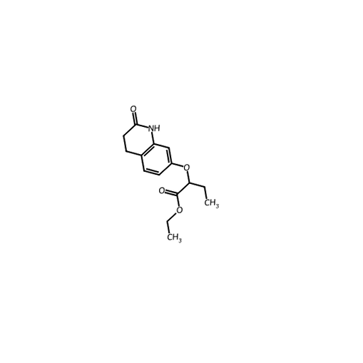 CCOC(=O)C(CC)Oc1ccc2c(c1)NC(=O)CC2